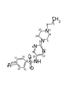 C=CCN1CCN(c2ncc(NS(=O)(=O)c3ccc(C(C)C)cc3)cn2)CC1